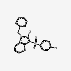 O=S(=O)(c1ccc(Cl)cc1)c1c(Cl)n(Cc2ccccc2)c2ccccc12